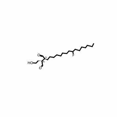 CCCCCCCC(F)CCCCCCCC[C@H](C=O)[C@H](C=O)CCO